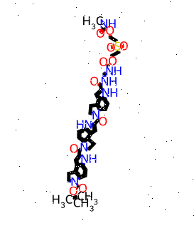 CNC(=O)OCCS(=O)(=O)CCOC(=O)NCNC(=O)c1cc2c3c(ccc2[nH]1)N(C(=O)c1cc2c4c(ccc2[nH]1)N(C(=O)c1cc2c5c(ccc2[nH]1)N(C(=O)OC(C)(C)C)CC5)CC4)CC3